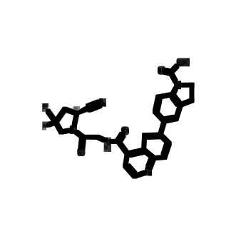 N#C[C@@H]1CC(F)(F)CN1C(=O)CNC(=O)c1ccnc2ccc(-c3ccc4c(c3)CCN4C(=O)O)cc12